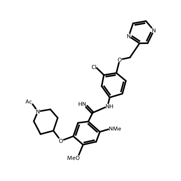 CNc1cc(OC)c(OC2CCN(C(C)=O)CC2)cc1C(=N)Nc1ccc(OCc2cnccn2)c(Cl)c1